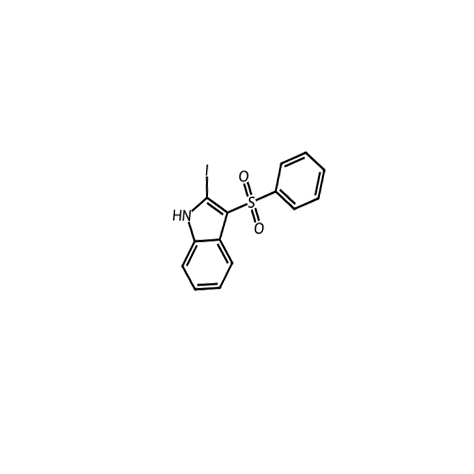 O=S(=O)(c1ccccc1)c1c(I)[nH]c2ccccc12